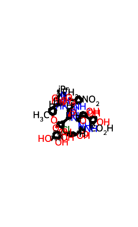 Cc1cc2ccc1Oc1cc3cc(c1O[C@@H]1C[C@H](CO)[C@@H](O)[C@H](O)[C@H]1O)Oc1ccc(cc1Cl)[C@@H](O)[C@@H]1NC(=O)[C@H](NC(=O)[C@@H]3NC(=O)[C@H](CC(N)=O)NC(=O)[C@H](NC(=O)[C@@H](CC(C)C)N(C)C(=O)OCc3ccc([N+](=O)[O-])cc3)[C@@H]2O)c2ccc(O)c(c2)-c2c(O)cc(O)cc2[C@@H](C(=O)O)NC1=O